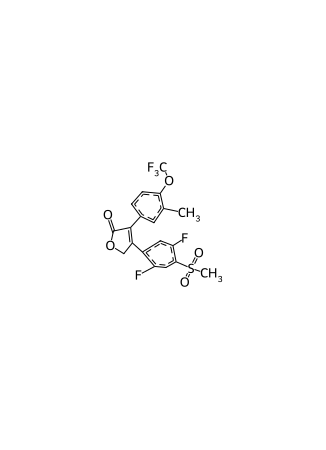 Cc1cc(C2=C(c3cc(F)c(S(C)(=O)=O)cc3F)COC2=O)ccc1OC(F)(F)F